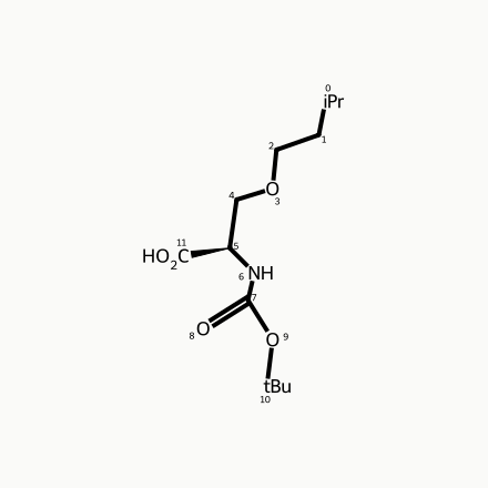 CC(C)CCOC[C@@H](NC(=O)OC(C)(C)C)C(=O)O